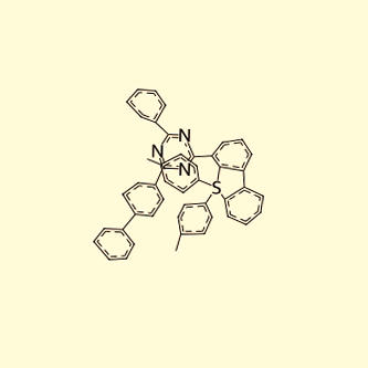 Cc1ccc(S2(c3ccc(C)cc3)c3ccccc3-c3cccc(-c4nc(-c5ccccc5)nc(-c5ccc(-c6ccccc6)cc5)n4)c32)cc1